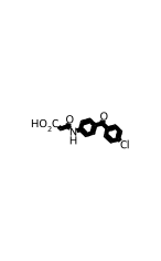 O=C(O)CC(=O)Nc1ccc(C(=O)c2ccc(Cl)cc2)cc1